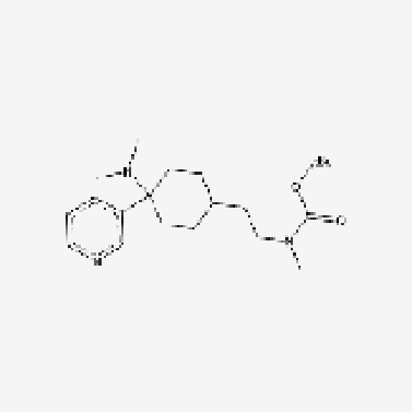 CN(CCC1CCC(c2cccnc2)(N(C)C)CC1)C(=O)OC(C)(C)C